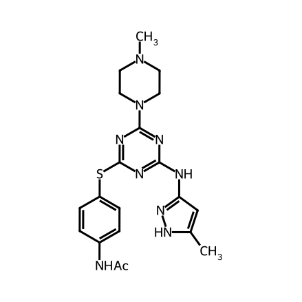 CC(=O)Nc1ccc(Sc2nc(Nc3cc(C)[nH]n3)nc(N3CCN(C)CC3)n2)cc1